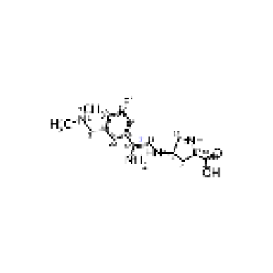 CN(C)Cc1cc(F)cc(/C(N)=C/NC2CNC(C(=O)O)C2)c1